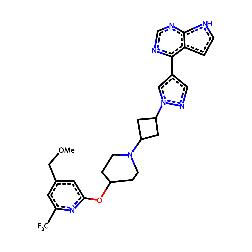 COCc1cc(OC2CCN(C3C[C](n4cc(-c5ncnc6[nH]ccc56)cn4)C3)CC2)nc(C(F)(F)F)c1